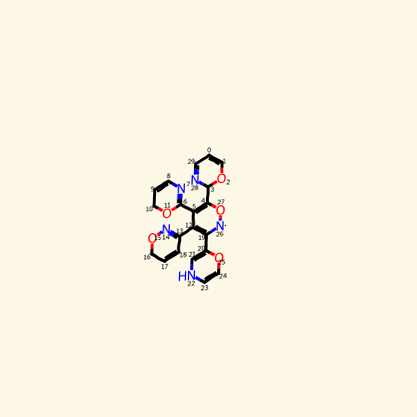 C1=COC(C2=C(C3=NC=CCO3)C(C3=NOCC=C3)=C(C3=CNC=CO3)[N]O2)N=C1